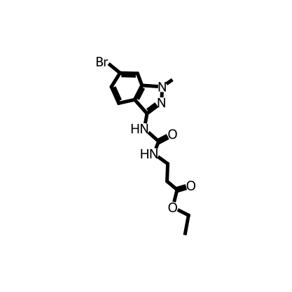 CCOC(=O)CCNC(=O)Nc1nn(C)c2cc(Br)ccc12